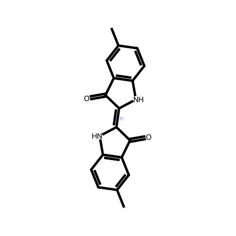 Cc1ccc2c(c1)C(=O)/C(=C1\Nc3ccc(C)cc3C1=O)N2